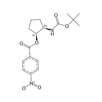 CC(C)(C)OC(=O)N[C@@H]1CCC[C@@H]1OC(=O)c1ccc([N+](=O)[O-])cc1